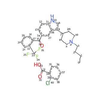 CCCCN1CCC(c2c[nH]c3ccc(C(=O)c4ccccc4C(F)(F)F)cc23)CC1.O=C(O)c1ccccc1Cl